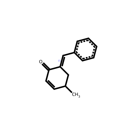 CC1C=CC(=O)/C(=C/c2ccccc2)C1